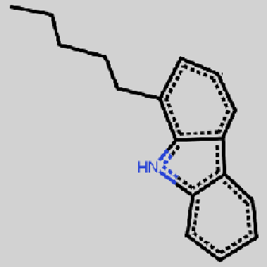 CCCCCc1c[c]cc2c1[nH]c1ccccc12